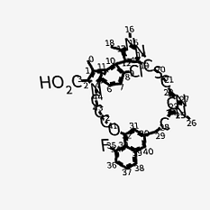 Cc1c(C(=O)O)n2c3ccc(Cl)c(c13)-c1c(nn(C)c1C)CSCc1cc(n(C)n1)CCc1cc(c3c(F)cccc3c1)OCCC2